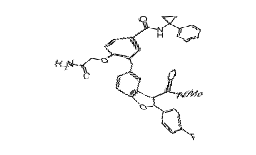 CNC(=O)C1c2cc(-c3cc(C(=O)NC4(c5ccccc5)CC4)ccc3OCC(N)=O)ccc2OC1c1ccc(F)cc1